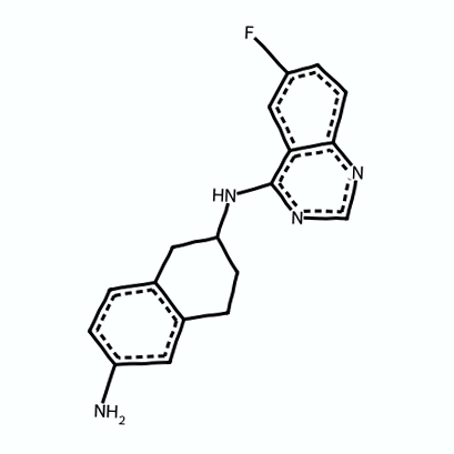 Nc1ccc2c(c1)CCC(Nc1ncnc3ccc(F)cc13)C2